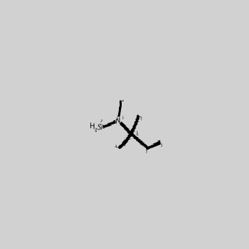 CCC(C)(C)N(C)[SiH3]